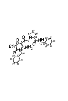 CCn1c(=O)c(C(=O)CN2CCCC2C(=O)NCc2ccccc2)c(N)n(Cc2ccccc2)c1=O